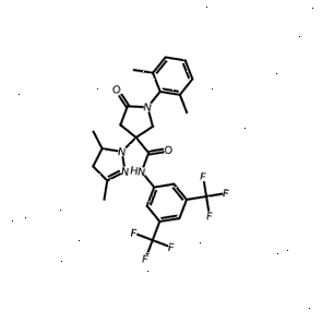 CC1=NN(C2(C(=O)Nc3cc(C(F)(F)F)cc(C(F)(F)F)c3)CC(=O)N(c3c(C)cccc3C)C2)C(C)C1